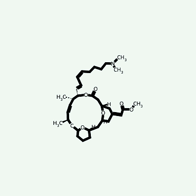 COC(=O)/C=C1\C[C@H]2CC(=O)O[C@@H](/C=C/C=C\CCCCN(C)C)[C@@H](C)/C=C/[C@H](C)CC3CCC[C@@H](C[C@@H](C1)O2)O3